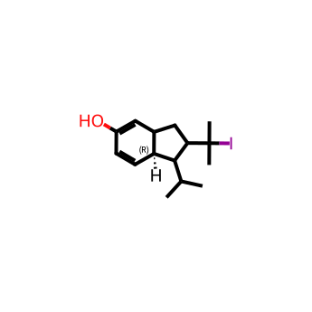 CC(C)C1C(C(C)(C)I)CC2C=C(O)C=C[C@@H]21